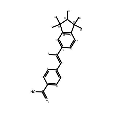 C/C(=C\c1ccc(C(=O)O)cc1)c1ccc2c(c1)C(C)(C)C(C)C2(C)C